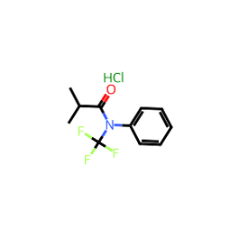 CC(C)C(=O)N(c1ccccc1)C(F)(F)F.Cl